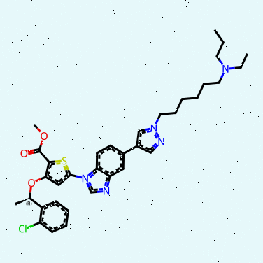 CCCN(CC)CCCCCCn1cc(-c2ccc3c(c2)ncn3-c2cc(O[C@H](C)c3ccccc3Cl)c(C(=O)OC)s2)cn1